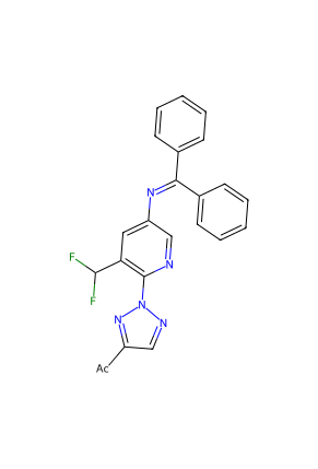 CC(=O)c1cnn(-c2ncc(N=C(c3ccccc3)c3ccccc3)cc2C(F)F)n1